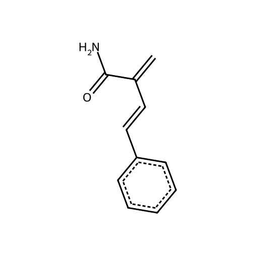 C=C(/C=C/c1ccccc1)C(N)=O